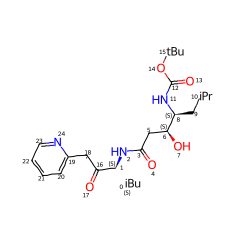 CC[C@H](C)[C@H](NC(=O)C[C@H](O)[C@H](CC(C)C)NC(=O)OC(C)(C)C)C(=O)[CH]c1ccccn1